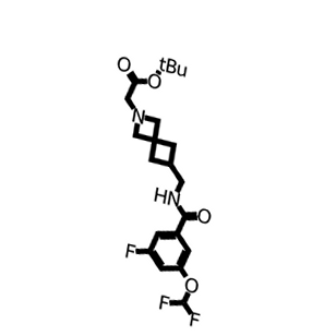 CC(C)(C)OC(=O)CN1CC2(CC(CNC(=O)c3cc(F)cc(OC(F)F)c3)C2)C1